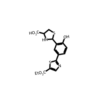 CCOC(=O)c1cnc(-c2ccc(O)c(C3NC(C(=O)O)CS3)c2)s1